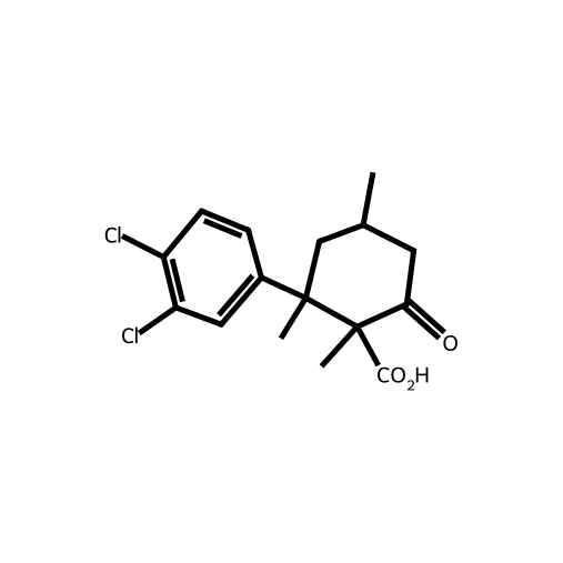 CC1CC(=O)C(C)(C(=O)O)C(C)(c2ccc(Cl)c(Cl)c2)C1